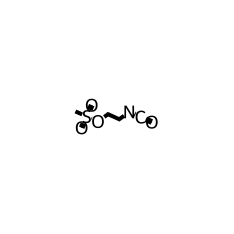 CS(=O)(=O)OCCN=C=O